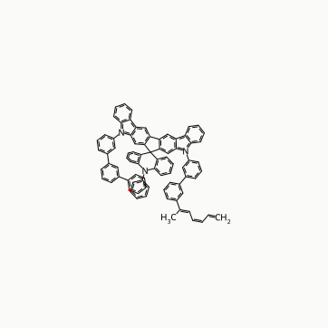 C=C/C=C\C=C(/C)c1cccc(-c2cccc(-n3c4ccccc4c4cc5c(cc43)C3(c4cc6c(cc4-5)c4ccccc4n6-c4cccc(-c5cccc(-c6ccccc6)c5)c4)c4ccccc4N(c4ccccc4)c4ccccc43)c2)c1